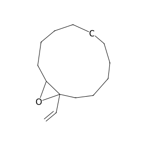 C=CC12CCCCCCCCCCC1O2